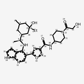 CC[C@]1(O)CC(C)C[C@H]([C@H](C)Nc2c(-c3nc(C(=O)NC4CCN(C(=O)CO)CC4)no3)cnc3[nH]ccc23)C1